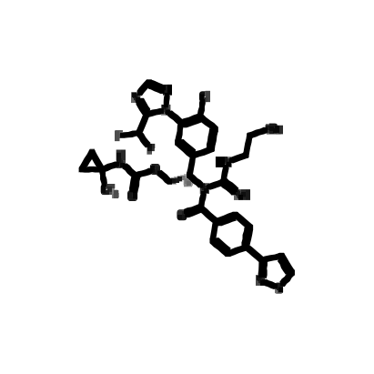 CC(C)(C)CCNC(=N)N(C(=O)c1ccc(-c2ccsn2)cc1)[C@H](COC(=O)NC1(C(F)(F)F)CC1)c1ccc(Cl)c(-n2ncnc2C(F)F)c1